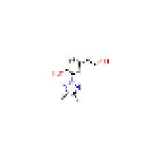 Cc1nn(-c2cc(CCO)ccc2O)nc1C